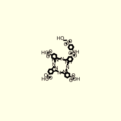 O=S(=O)(O)c1ccc2c(c1)-c1nc3nc(nc4[nH]c(nc5[nH]c(nc-2n1)c1cc(S(=O)(=O)O)ccc51)c1cc(S(=O)(=O)Nc2ccc(S(=O)(=O)CCO)cc2)ccc41)-c1cc(S(=O)(=O)O)ccc1-3